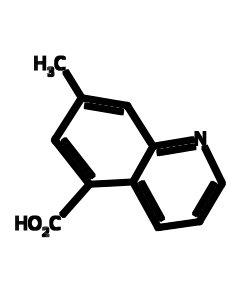 Cc1cc(C(=O)O)c2cccnc2c1